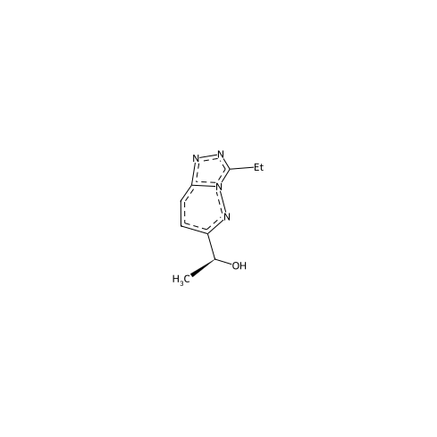 CCc1nnc2ccc([C@H](C)O)nn12